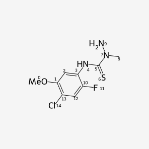 COc1cc(NC(=S)N(C)N)c(F)cc1Cl